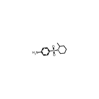 CC1CCCCN1S(=O)(=O)c1ccc(N)cc1